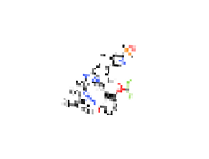 [2H]C([2H])([2H])N1C(=O)c2cccc(OC(F)F)c2[C@H]2C[C@@H]1c1nc3ccc(-c4cnc(P(C)(C)=O)cc4C)cc3n12